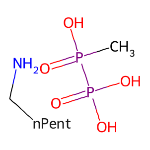 CCCCCCN.CP(=O)(O)P(=O)(O)O